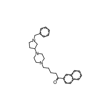 O=C(CCCCN1CCN(C2CCN(Cc3ccccc3)C2)CC1)c1ccc2ccccc2c1